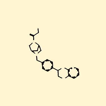 O=C(CO)N1CC2CC1CN2Cc1ccc(C2COc3cccnc3O2)cc1